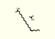 CC(=O)O.CCCC/C=C\CCCCCCCCCCCC(=O)O